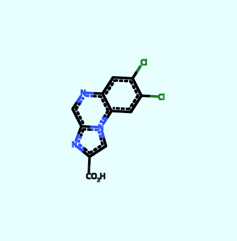 O=C(O)c1cn2c(cnc3cc(Cl)c(Cl)cc32)n1